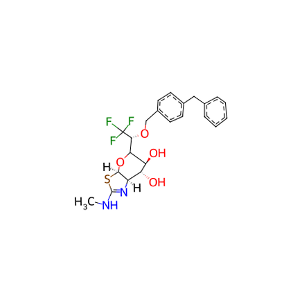 CNC1=N[C@@H]2[C@@H](O)[C@H](O)C([C@@H](OCc3ccc(Cc4ccccc4)cc3)C(F)(F)F)O[C@@H]2S1